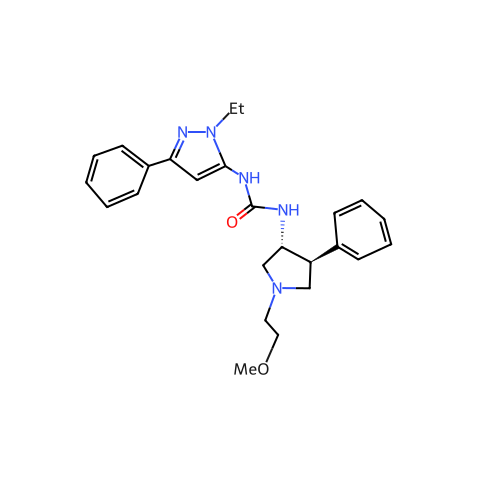 CCn1nc(-c2ccccc2)cc1NC(=O)N[C@H]1CN(CCOC)C[C@@H]1c1ccccc1